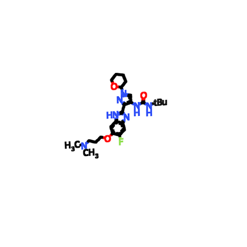 CN(C)CCCOc1cc2[nH]c(-c3nn(C4CCCCO4)cc3NC(=O)NC(C)(C)C)nc2cc1F